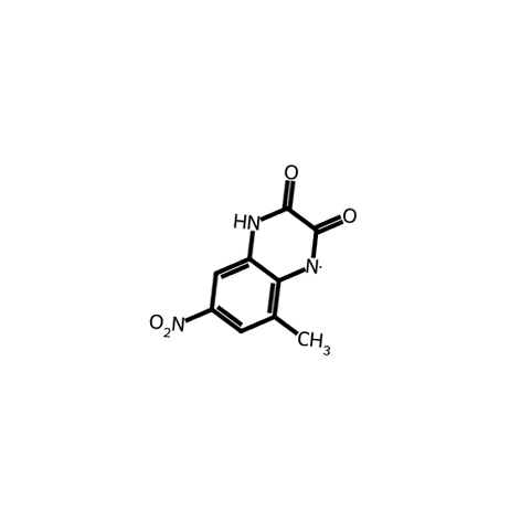 Cc1cc([N+](=O)[O-])cc2c1[N]C(=O)C(=O)N2